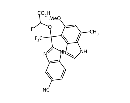 COc1cc(C)c2[nH]ccc2c1C(OC(F)C(=O)O)(c1nc2cc(C#N)ccc2[nH]1)C(F)(F)F